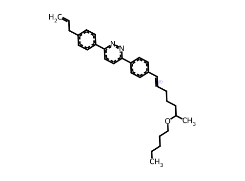 C=CCc1ccc(-c2ccc(-c3ccc(/C=C/CCCC(C)OCCCCC)cc3)nn2)cc1